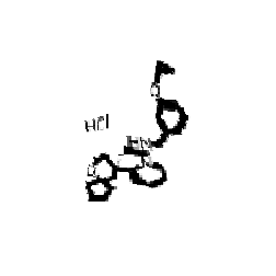 Cl.c1ccc([C@]2(CCNCc3cccc(OC4CC4)c3)CCOC3(CCCC3)C2)nc1